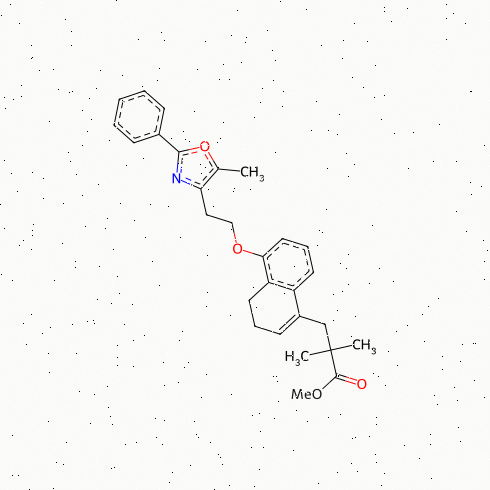 COC(=O)C(C)(C)CC1=CCCc2c(OCCc3nc(-c4ccccc4)oc3C)cccc21